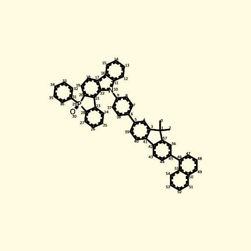 CC1(C)c2cc(-c3ccc(-n4c5ccccc5c5ccc6c(c54)-c4ccccc4P6(=O)c4ccccc4)cc3)ccc2-c2ccc(-c3cccc4ccccc34)cc21